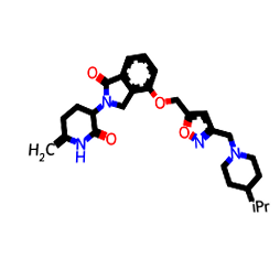 C=C1CCC(N2Cc3c(OCc4cc(CN5CCC(C(C)C)CC5)no4)cccc3C2=O)C(=O)N1